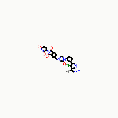 CCc1c[nH]c2ncc(-c3cccc(N4CCN(Cc5ccc6c(c5)C(=O)N(C5CCC(=O)NC5=O)C6=O)CC4=O)c3)c(Cl)c12